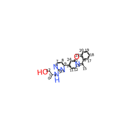 CC(CO)Nc1nccc(-c2ccn(C(C)c3ccccc3)c(=O)c2)n1